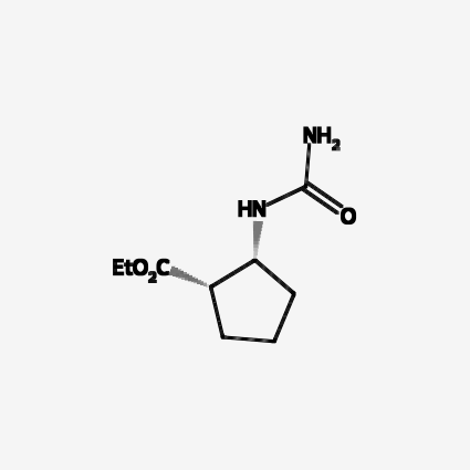 CCOC(=O)[C@H]1CCC[C@H]1NC(N)=O